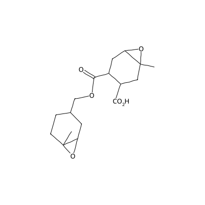 CC12CCC(COC(=O)C3CC4OC4(C)CC3C(=O)O)CC1O2